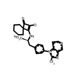 O=C(O)[C@H](Cc1ccc(-n2c(C(F)(F)F)nc3cnccc32)cc1)NC1=C(Cl)C(=O)C12CCCCC2